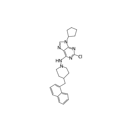 Clc1nc(NN2CCC(Cc3cccc4ccccc34)CC2)c2ncn(C3CCCC3)c2n1